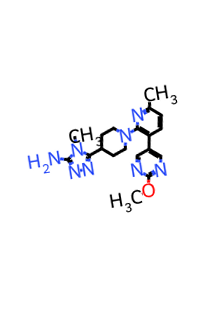 COc1ncc(-c2ccc(C)nc2N2CCC(c3nnc(N)n3C)CC2)cn1